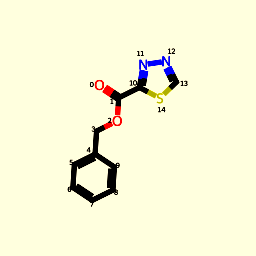 O=C(OCc1ccccc1)c1nncs1